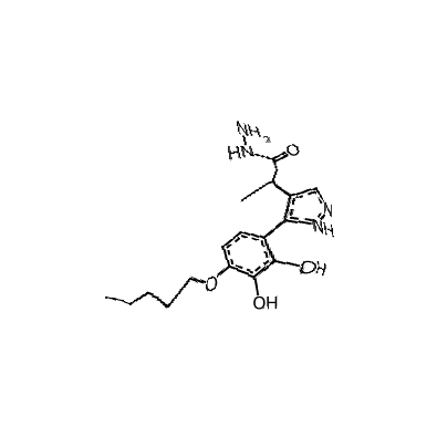 CCCCCOc1ccc(-c2[nH]ncc2C(C)C(=O)NN)c(O)c1O